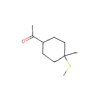 CSC1(C)CCC(C(C)=O)CC1